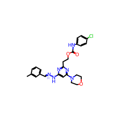 Cc1cccc(/C=N/Nc2cc(N3CCOCC3)nc(CCOC(=O)Nc3ccc(Cl)cc3)n2)c1